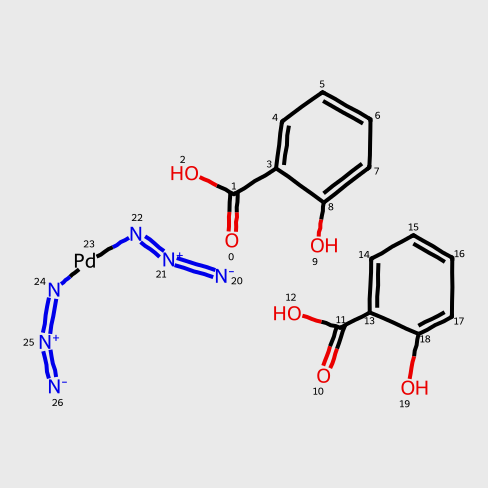 O=C(O)c1ccccc1O.O=C(O)c1ccccc1O.[N-]=[N+]=[N][Pd][N]=[N+]=[N-]